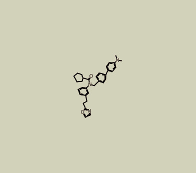 CN(C)c1ccc(-c2ccc(CN(C(=O)C3CCCCC3)c3cccc(CCc4ncco4)c3)cc2)cc1